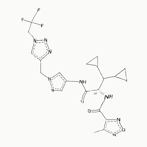 Cc1nonc1C(=O)N[C@H](C(=O)Nc1cnn(Cc2cn(CC(F)(F)F)nn2)c1)C(C1CC1)C1CC1